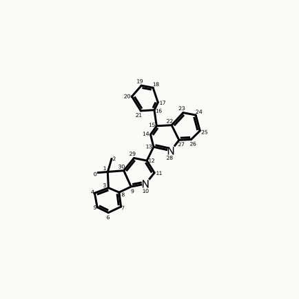 CC1(C)c2ccccc2-c2ncc(-c3cc(-c4ccccc4)c4ccccc4n3)cc21